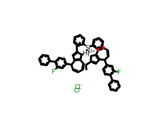 CCC1=CC2=C(C=CC=CC2c2ccc(-c3ccccc3)c(F)c2)[CH]1[Hf+2]([CH]1C(CC)=CC2=C1C=CC=CC2c1ccc(-c2ccccc2)c(F)c1)=[Si](c1ccccc1)c1ccccc1.[Cl-].[Cl-]